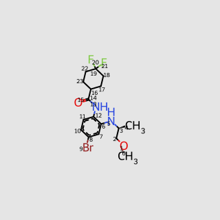 COC[C@H](C)Nc1cc(Br)ccc1NC(=O)C1CCC(F)(F)CC1